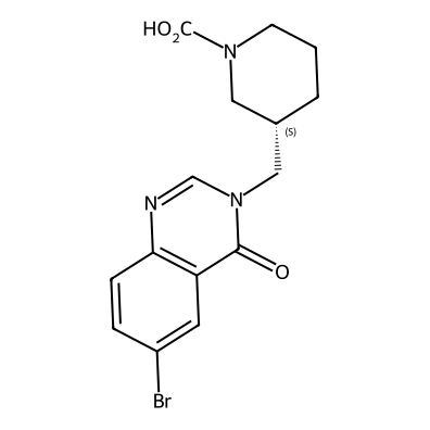 O=C(O)N1CCC[C@H](Cn2cnc3ccc(Br)cc3c2=O)C1